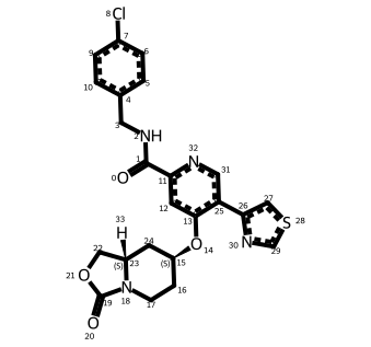 O=C(NCc1ccc(Cl)cc1)c1cc(O[C@H]2CCN3C(=O)OC[C@@H]3C2)c(-c2cscn2)cn1